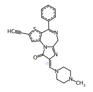 C#Cc1cc2c(s1)C(c1ccccc1)=NCC1=N/C(=C\N3CCN(C)CC3)C(=O)N12